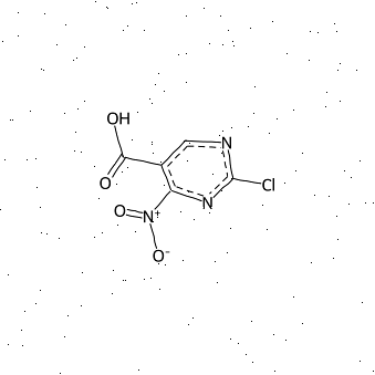 O=C(O)c1cnc(Cl)nc1[N+](=O)[O-]